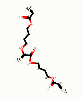 C=CC(=O)OCCCCOC(=C)C(=O)OCCCCOC(=O)C=C